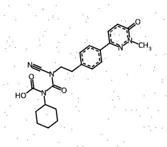 Cn1nc(-c2ccc(CCN(C#N)C(=O)N(C(=O)O)C3CCCCC3)cc2)ccc1=O